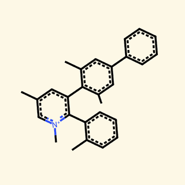 Cc1cc(-c2c(C)cc(-c3ccccc3)cc2C)c(-c2ccccc2C)[n+](C)c1